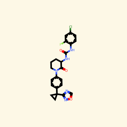 O=C(Nc1ccc(Cl)cc1F)NC1CCCN(c2ccc(C3(c4ncon4)CC3)cc2)C1=O